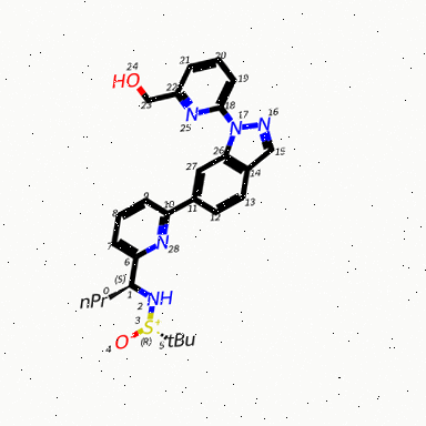 CCC[C@H](N[S@@+]([O-])C(C)(C)C)c1cccc(-c2ccc3cnn(-c4cccc(CO)n4)c3c2)n1